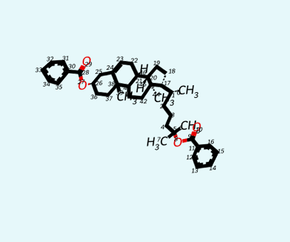 C[C@H](CCCC(C)(C)OC(=O)c1ccccc1)[C@H]1CC[C@H]2[C@@H]3CC=C4C[C@@H](OC(=O)c5ccccc5)CCC4(C)C3CC[C@]12C